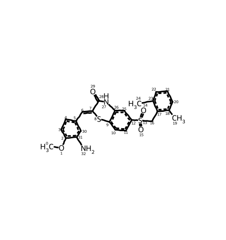 COc1ccc(C=C2Sc3ccc(S(=O)(=O)Cc4c(C)cccc4C)cc3NC2=O)cc1N